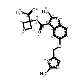 Cc1ncc(COc2ccc3sc(C)c(C(=O)NC4(C(N)=O)COC4)c3c2)s1